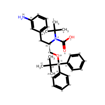 CC(C)(C)N(C(=O)O)[C@H](CO[Si](c1ccccc1)(c1ccccc1)C(C)(C)C)Cc1cccc(N)c1